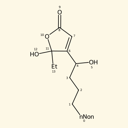 CCCCCCCCCCCCC(O)C1=CC(=O)OC1(O)CC